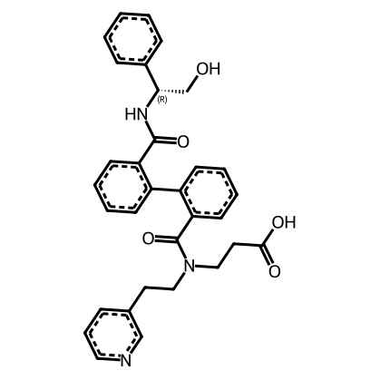 O=C(O)CCN(CCc1cccnc1)C(=O)c1ccccc1-c1ccccc1C(=O)N[C@@H](CO)c1ccccc1